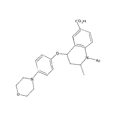 CC(=O)N1c2ccc(C(=O)O)cc2C(Oc2ccc(N3CCOCC3)cc2)CC1C